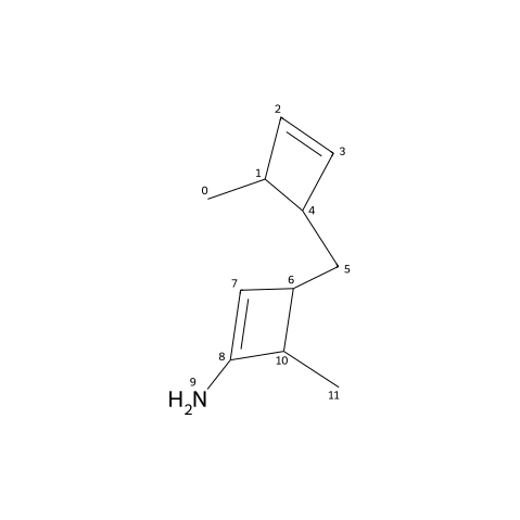 CC1C=CC1CC1C=C(N)C1C